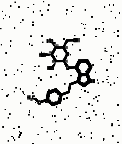 COc1ccc(CCc2c[nH]c3cccc(O[C@@H]4O[C@H](CO)[C@@H](O)[C@H](O)[C@H]4O)c23)cc1